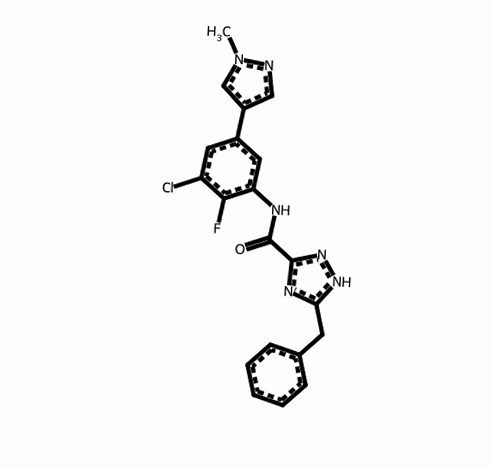 Cn1cc(-c2cc(Cl)c(F)c(NC(=O)c3n[nH]c(Cc4ccccc4)n3)c2)cn1